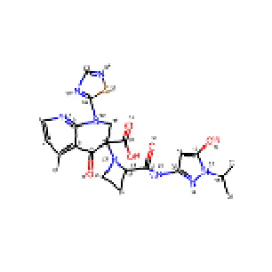 Cc1ccnc2c1C(=O)C(C(=O)O)(N1CCC1C(=O)Nc1cc(O)n(C(C)C)n1)CN2c1ncns1